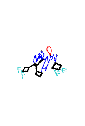 CN(C(=O)Nc1c(C2CCC2)c(C2CC(F)(F)C2)nn1C)C1CC(F)(F)C1